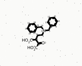 O=C(O)C(=O)C(CCN(Cc1ccccc1)Cc1ccccc1)C(=O)O